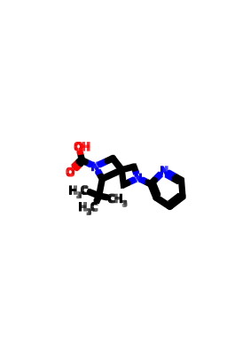 CC(C)(C)C1N(C(=O)O)CC12CN(c1ccccn1)C2